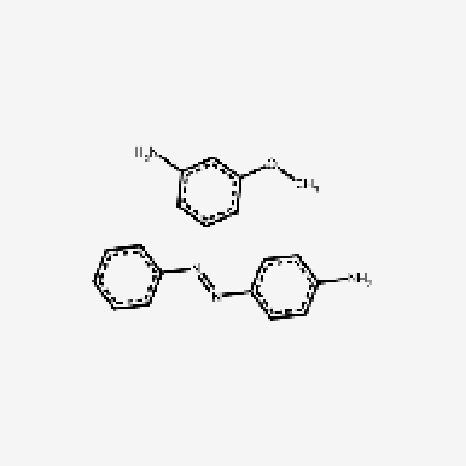 COc1cccc(N)c1.Nc1ccc(N=Nc2ccccc2)cc1